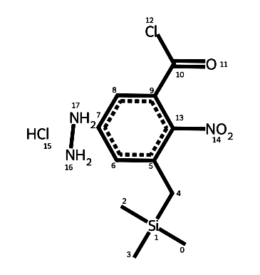 C[Si](C)(C)Cc1cccc(C(=O)Cl)c1[N+](=O)[O-].Cl.NN